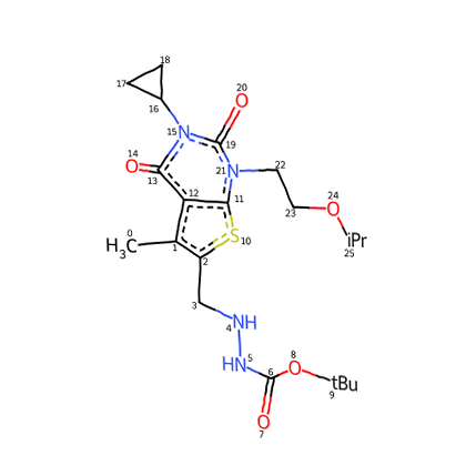 Cc1c(CNNC(=O)OC(C)(C)C)sc2c1c(=O)n(C1CC1)c(=O)n2CCOC(C)C